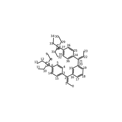 C/C=C(/c1ccc([Si](CC)(CC)CC)cc1)c1cccc(/C(=C/C)c2ccc([Si](CC)(CC)CC)cc2)c1